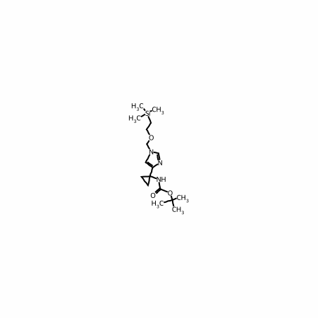 CC(C)(C)OC(=O)NC1(c2cn(COCC[Si](C)(C)C)cn2)CC1